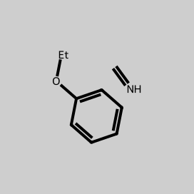 C=N.CCOc1ccccc1